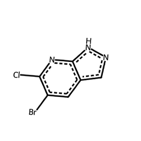 Clc1nc2[nH]ncc2cc1Br